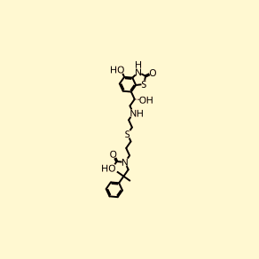 CC(C)(CN(CCCSCCNC[C@@H](O)c1ccc(O)c2[nH]c(=O)sc12)C(=O)O)c1ccccc1